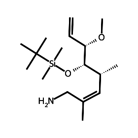 C=C[C@H](OC)[C@@H](O[Si](C)(C)C(C)(C)C)[C@H](C)/C=C(/C)CN